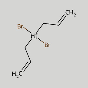 C=C[CH2][Hf]([Br])([Br])[CH2]C=C